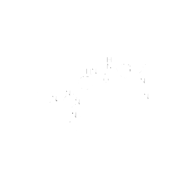 CN1CCN(C(=O)c2ccc(NC(=O)Nc3ccc(-c4nc(N5C6CCC5COC6)cc(N5C6CCC5COC6)n4)cc3)cc2)CC1